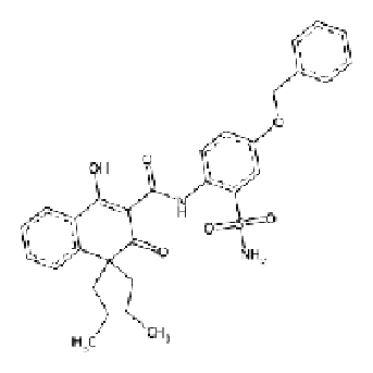 CCCC1(CCC)C(=O)C(C(=O)Nc2ccc(OCc3ccccc3)cc2S(N)(=O)=O)=C(O)c2ccccc21